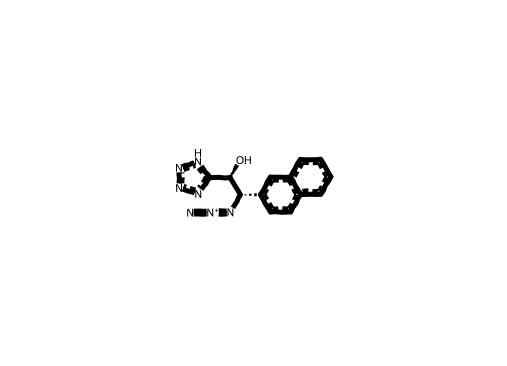 [N-]=[N+]=N[C@@H](c1ccc2ccccc2c1)[C@H](O)c1nnn[nH]1